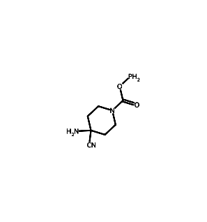 N#CC1(N)CCN(C(=O)OP)CC1